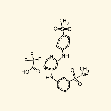 CNS(=O)(=O)c1cccc(Nc2cc(Nc3ccc(S(C)(=O)=O)cc3)ncn2)c1.O=C(O)C(F)(F)F